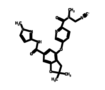 [C-]#[N+]CN(C)C(=O)c1ccc(Oc2cc(C(=O)Nc3ccn(C)n3)cc3c2CC(C)(C)O3)cn1